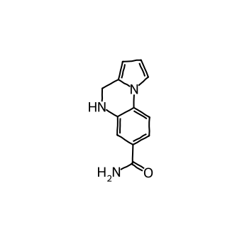 NC(=O)c1ccc2c(c1)NCc1cccn1-2